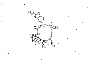 Cc1nc2cc([C@@H]3CC4CC4(C)C/C=C/[C@H](C)[C@H](O)[C@@H](C)C(=O)C(C)(C)[C@@H](O)CC(=O)O3)ccc2o1